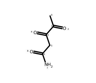 CC(=O)C(=O)CC(N)=O